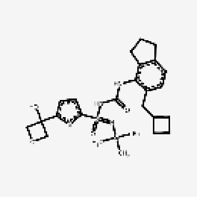 CC(C)(C)[Si](C)(C)N=S(=O)(NC(=O)Nc1c(CC2CCC2)ccc2c1CCC2)c1ccc(C2(O)COC2)s1